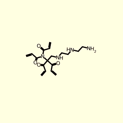 C=CC(=O)N(C(=O)C=C)C(CNCCNCCN)(C(=O)C=C)C(=O)C=C